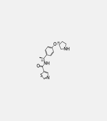 C[C@H](NC(=O)c1cncs1)c1ccc(O[C@@H]2CCNC2)cc1